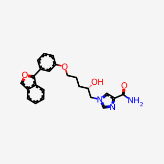 NC(=O)c1cn(C[C@@H](O)CCCOc2cccc(-c3occ4ccccc34)c2)cn1